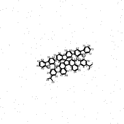 CC(C)c1ccc(N(c2cc3c(c4ccccc24)-c2c(cc(N(c4ccc(C(C)C)cc4)c4cccc5c4oc4ccccc45)c4ccccc24)C32c3ccccc3-c3ccccc32)c2cccc3c2oc2ccccc23)cc1